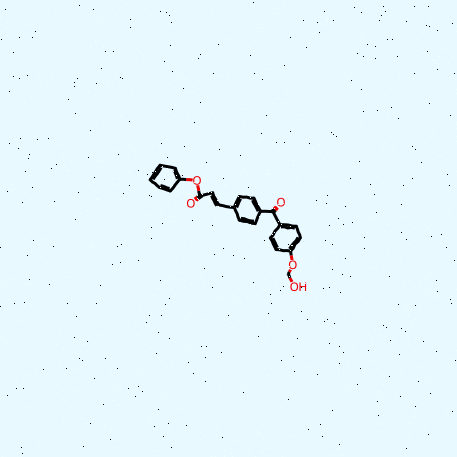 O=C(C=Cc1ccc(C(=O)c2ccc(OCO)cc2)cc1)Oc1ccccc1